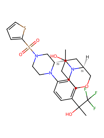 CC1(O)CC2COC[C@H](C1)N2C[C@H]1CN(S(=O)(=O)c2cccs2)CCN1c1ccc(C(C)(O)C(F)(F)F)cc1